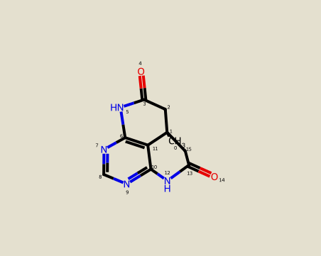 CC12CC(=O)Nc3ncnc(c31)NC(=O)C2